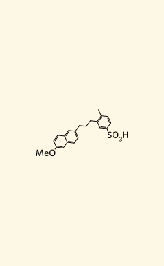 COc1ccc2cc(CCCc3cc(S(=O)(=O)O)ccc3C)ccc2c1